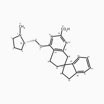 CN1CCC[C@H]1COc1nc(C(=O)O)nc2c1CCC1(CCc3ccccc31)C2